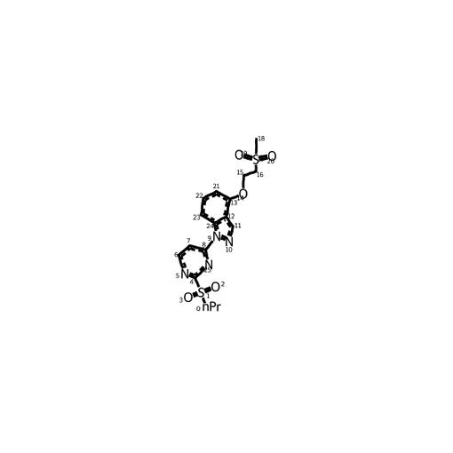 CCCS(=O)(=O)c1nccc(-n2ncc3c(OCCS(C)(=O)=O)cccc32)n1